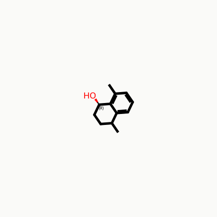 Cc1cccc2c1[C@H](O)CCC2C